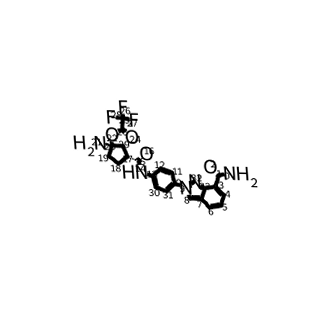 NC(=O)c1cccc2cn(-c3ccc(NC(=O)[C@@H]4CC[C@](N)(OC(=O)C(F)(F)F)C4)cc3)nc12